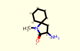 CN1C(=O)C(N)CC12CCCCC2